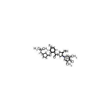 CC1=N/C(=C2\CN(C(=O)c3ccc(F)cc3OC3CCC(CN(C)C)C3)CC2=N)NC(C)=C1Cl